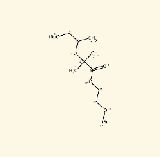 CC(C)COCC(C)OC(C)(C)C(=O)OCCOC(C)(C)C